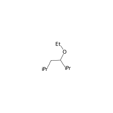 CCOC(CC(C)C)C(C)C